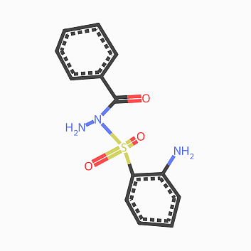 Nc1ccccc1S(=O)(=O)N(N)C(=O)c1ccccc1